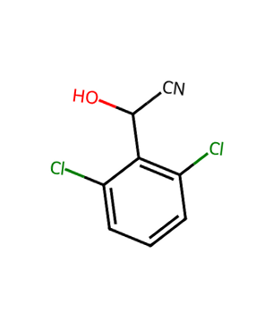 N#CC(O)c1c(Cl)cccc1Cl